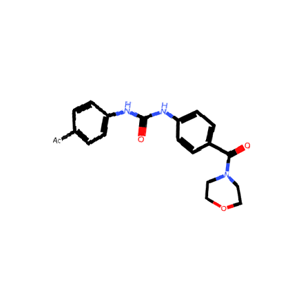 CC(=O)c1ccc(NC(=O)Nc2ccc(C(=O)N3CCOCC3)cc2)cc1